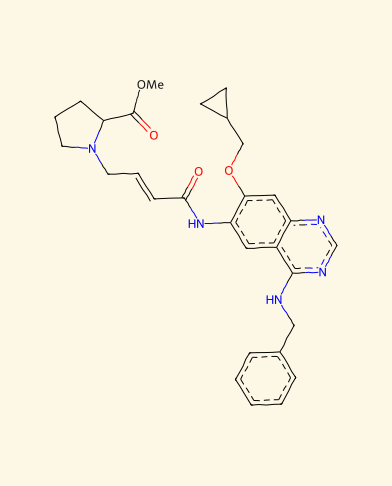 COC(=O)C1CCCN1CC=CC(=O)Nc1cc2c(NCc3ccccc3)ncnc2cc1OCC1CC1